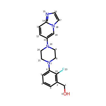 OCc1cccc(N2CCN(c3ccc4nccn4c3)CC2)c1F